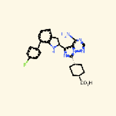 Nc1ncnn2c1c(C1Cc3cccc(-c4ccc(F)cc4)c3N1)nc2[C@H]1CC[C@H](C(=O)O)CC1